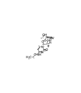 CCONc1ccn([C@@H]2O[C@@](CO)(N=[N+]=[N-])C(O)[C@@H]2F)c(=O)n1